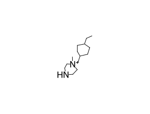 CCC1CCC(C[N+]2(C)CCNCC2)CC1